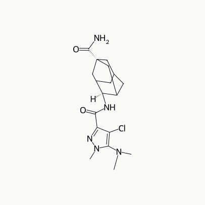 CN(C)c1c(Cl)c(C(=O)N[C@H]2C3CC4CC2C[C@](C(N)=O)(C4)C3)nn1C